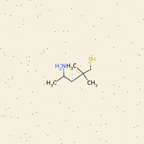 CC(N)CC(C)(C)CS